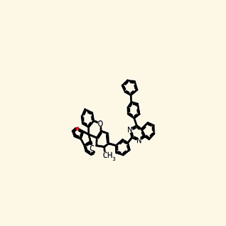 CC1CC2=C(C=C1c1cccc(-c3nc(-c4ccc(-c5ccccc5)cc4)c4ccccc4n3)c1)Oc1ccccc1C21c2ccccc2-c2ccccc21